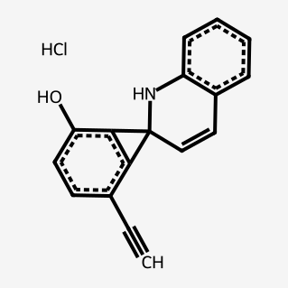 C#Cc1ccc(O)c2c1C21C=Cc2ccccc2N1.Cl